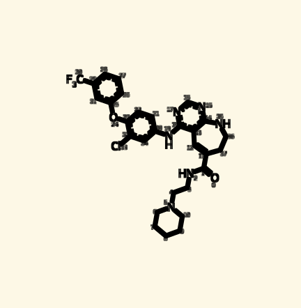 O=C(NCCN1CCCCC1)C1=Cc2c(ncnc2Nc2ccc(Oc3cccc(C(F)(F)F)c3)c(Cl)c2)NCC1